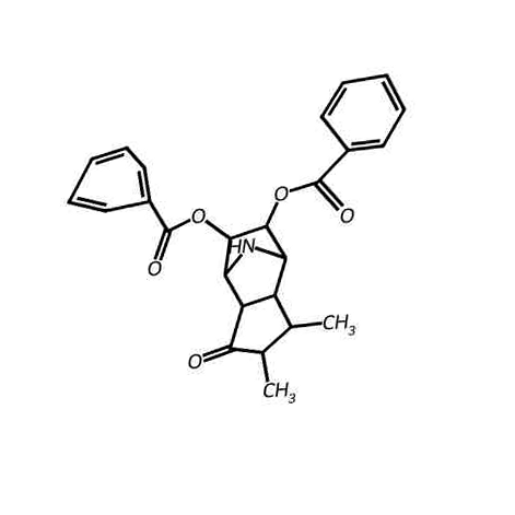 CC1C(=O)C2C3NC(C(OC(=O)c4ccccc4)C3OC(=O)c3ccccc3)C2C1C